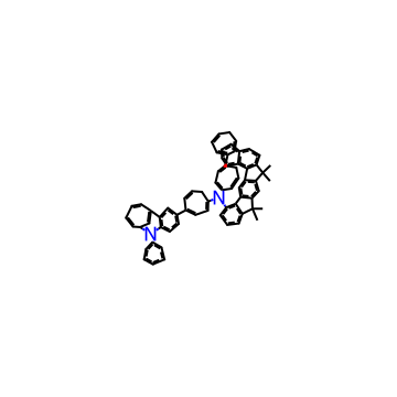 CC1(C)c2cc3c(cc2-c2c(N(C4=CC=C(C5=CC=CCC=C5)CC=C4)C4=CC=C(c5ccc6c(c5)C5=CC(C=CC=C5)N6c5ccccc5)C=CC4)cccc21)-c1c(ccc2ccccc12)C3(C)C